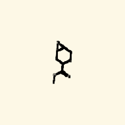 COC(=O)C1CC2OC2CO1